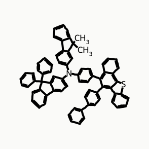 CC1(C)c2ccccc2-c2ccc(N(c3ccc(-c4c(-c5ccc(-c6ccccc6)cc5)c5c6ccccc6sc5c5ccccc45)cc3)c3ccc4c(c3)C(c3ccccc3)(c3ccccc3)c3ccccc3-4)cc21